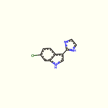 Clc1ccc2c(-c3ncc[nH]3)c[nH]c2c1